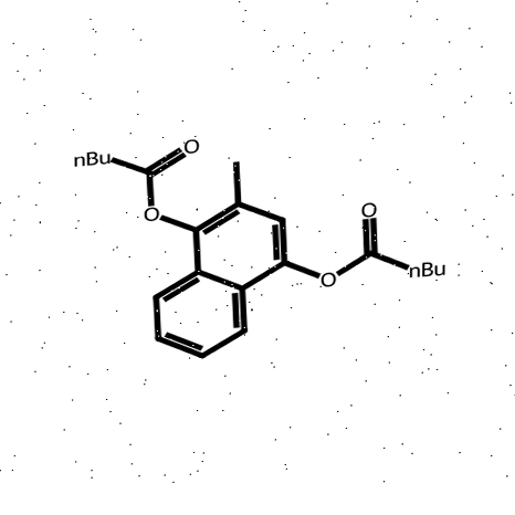 CCCCC(=O)Oc1cc(C)c(OC(=O)CCCC)c2ccccc12